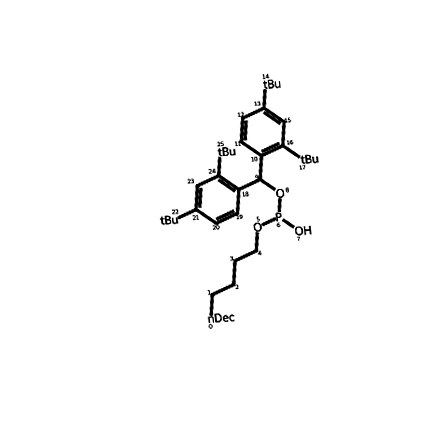 CCCCCCCCCCCCCCOP(O)OC(c1ccc(C(C)(C)C)cc1C(C)(C)C)c1ccc(C(C)(C)C)cc1C(C)(C)C